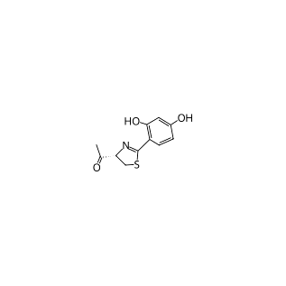 CC(=O)[C@H]1CSC(c2ccc(O)cc2O)=N1